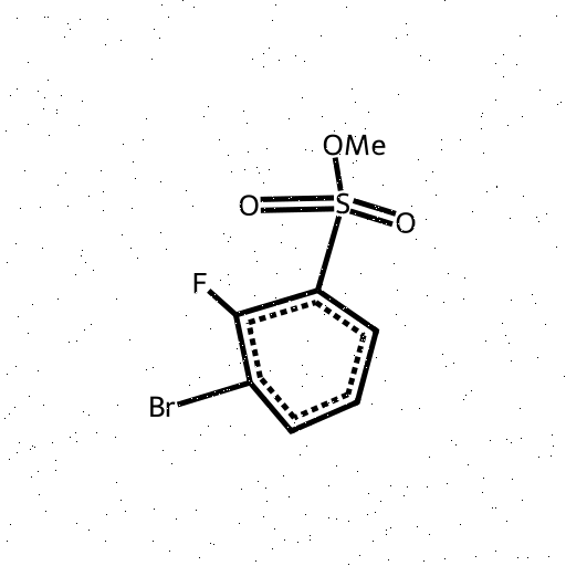 COS(=O)(=O)c1cccc(Br)c1F